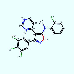 CC(=O)N(c1ccccc1F)c1onc(-c2cc(F)c(F)c(F)c2)c1-c1ccncn1